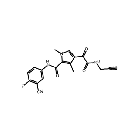 C#CCNC(=O)C(=O)c1cn(C)c(C(=O)Nc2ccc(F)c(C#N)c2)c1C